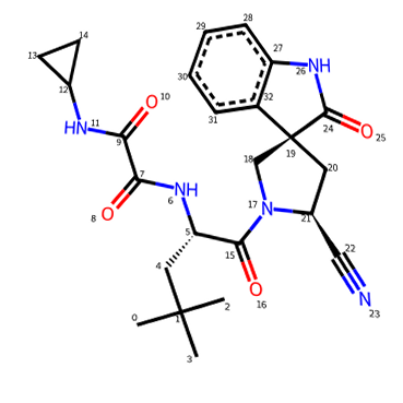 CC(C)(C)C[C@H](NC(=O)C(=O)NC1CC1)C(=O)N1C[C@]2(C[C@H]1C#N)C(=O)Nc1ccccc12